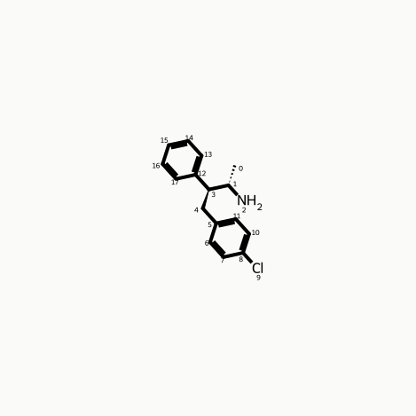 C[C@H](N)[C@@H](Cc1ccc(Cl)cc1)c1ccccc1